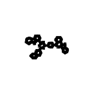 c1ccc2cc(-c3nc(-c4ccc(-c5nc6c7ccccc7sc6c6ccccc56)cc4)nc(-c4cccc5c4sc4ccccc45)n3)ccc2c1